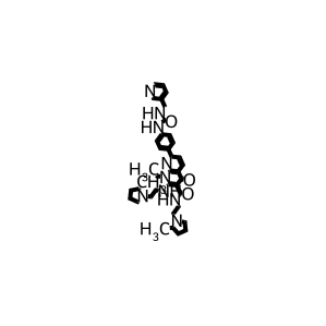 CCn1c(NCCN2CCCC2C)c(C(=O)NCCN2CCCC2C)c(=O)c2ccc(-c3ccc(NC(=O)NCc4cccnc4)cc3)nc21